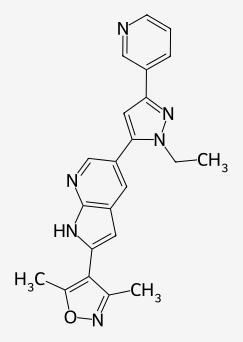 CCn1nc(-c2cccnc2)cc1-c1cnc2[nH]c(-c3c(C)noc3C)cc2c1